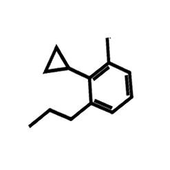 [CH2]c1cccc(CCC)c1C1CC1